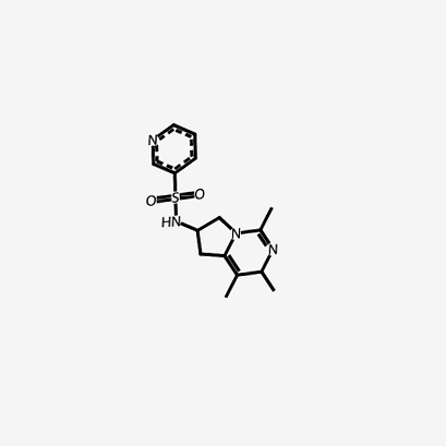 CC1=NC(C)C(C)=C2CC(NS(=O)(=O)c3cccnc3)CN12